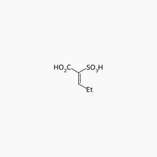 CCC=C(C(=O)O)S(=O)(=O)O